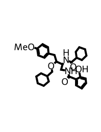 COc1ccc(CC(OCC2CCCCC2)C(CNC(=O)c2ccccc2O)NC(=O)C2CCCCC2)cc1